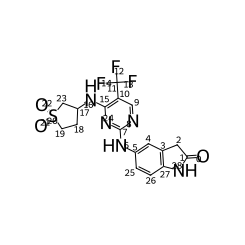 O=C1Cc2cc(Nc3ncc(C(F)(F)F)c(NC4CCS(=O)(=O)C4)n3)ccc2N1